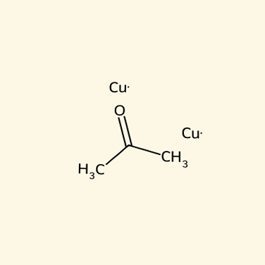 CC(C)=O.[Cu].[Cu]